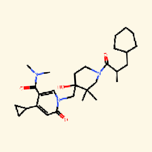 CC(CC1CCCCC1)C(=O)N1CCC(O)(Cn2cc(C(=O)N(C)C)c(C3CC3)cc2=O)C(C)(C)C1